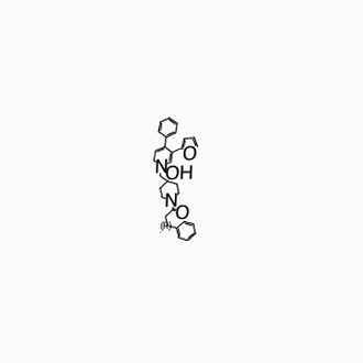 C[C@H](CC(=O)N1CCC(O)(CN2C=C(c3ccco3)C(c3ccccc3)=CC2)CC1)c1ccccc1